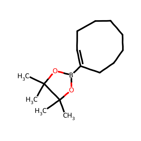 CC1(C)OB(/C2=C/CCCCCCC2)OC1(C)C